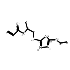 C=CC(=O)SC(C)CSc1nnc(SCC)s1